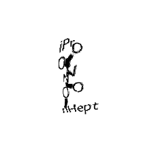 CCCCCCCCOC(=O)/N=N/C(=O)OC(C)C